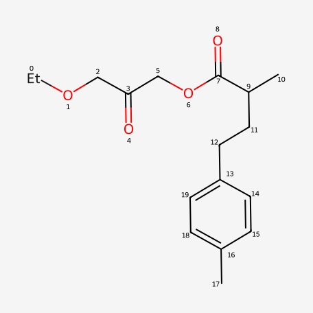 CCOCC(=O)COC(=O)C(C)CCc1ccc(C)cc1